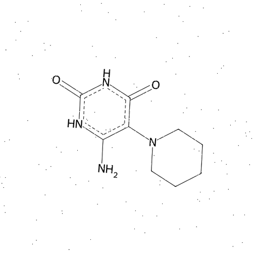 Nc1[nH]c(=O)[nH]c(=O)c1N1CCCCC1